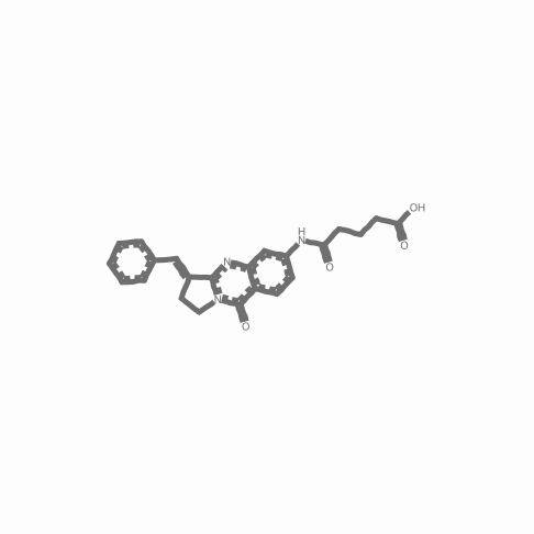 O=C(O)CCCC(=O)Nc1ccc2c(=O)n3c(nc2c1)C(=Cc1ccccc1)CC3